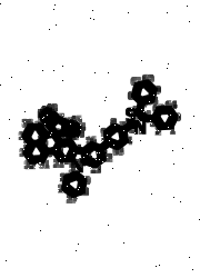 c1ccc(-c2nc(-c3ccc(-c4ccc5c(c4)c4cc6c(cc4n5-c4ccccc4)-c4cccc5cccc(c45)C64c5ccccc5-c5ccccc54)cc3)sc2-c2ccccc2)cc1